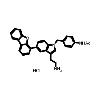 CC(=O)Nc1ccc(Cn2cc(CCN)c3cc(-c4cccc5c4oc4ccccc45)ccc32)cc1.Cl